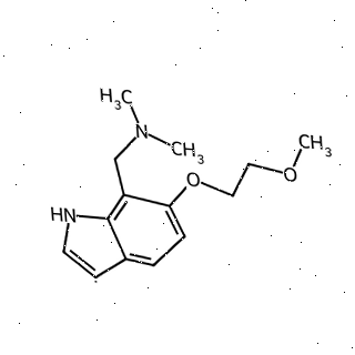 COCCOc1ccc2[c]c[nH]c2c1CN(C)C